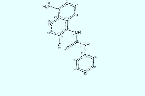 Nc1cccc2c(NC(=O)Nc3ccccc3)c(Cl)cnc12